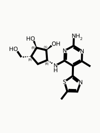 Cc1cnc(-c2c(C)nc(N)nc2N[C@@H]2C[C@H](CO)[C@@H](O)[C@H]2O)s1